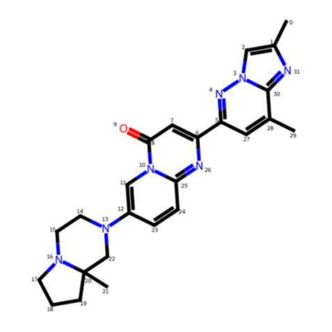 Cc1cn2nc(-c3cc(=O)n4cc(N5CCN6CCCC6(C)C5)ccc4n3)cc(C)c2n1